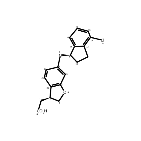 O=C(O)C[C@@H]1COc2cc(O[C@@H]3CCc4c(Cl)cccc43)ccc21